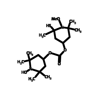 CON1C(C)(C)CC(OC(=O)OC2CC(C)(C)N(O)C(C)(C)C2)CC1(C)S